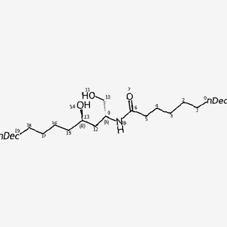 CCCCCCCCCCCCCCCC(=O)N[C@@H](CO)C[C@H](O)CCCCCCCCCCCCCC